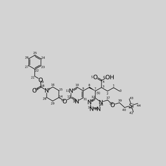 CCCC(C(=O)O)[C@H](Cc1cnc(OC2CCN(C(=O)OCc3ccccc3)CC2)nc1)c1nnnn1COCC[Si](C)(C)C